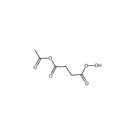 CC(=O)OC(=O)CCC(=O)OO